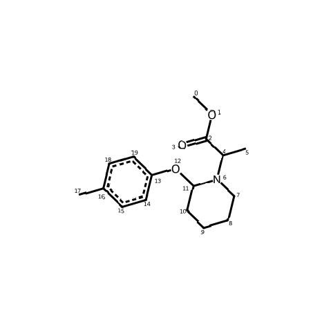 COC(=O)C(C)N1CCCCC1Oc1ccc(C)cc1